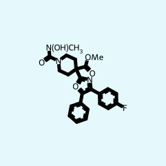 COC(=O)C1(c2nc(-c3ccc(F)cc3)c(-c3ccccc3)o2)CCN(C(=O)N(C)O)CC1